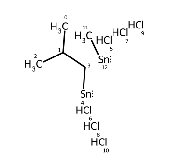 CC(C)[CH2][Sn].Cl.Cl.Cl.Cl.Cl.Cl.[CH3][Sn]